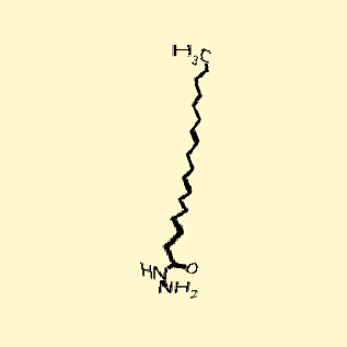 CCCCCCC=CCCC=CCCCCCC(=O)NN